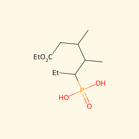 CCOC(=O)CC(C)C(C)C(CC)P(=O)(O)O